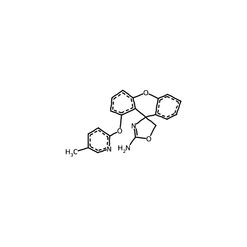 Cc1ccc(Oc2cccc3c2C2(COC(N)=N2)c2ccccc2O3)nc1